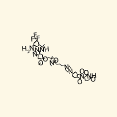 COc1cc2nc(C)nc(N[C@H](C)c3cc(N)cc(C(F)(F)F)c3)c2cc1OCC1(CN(C)C(=O)CCCCN2CCN(c3ccc4c(c3)C(=O)N(C3CCC(=O)NC3=O)C4=O)CC2)CC1